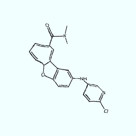 CN(C)C(=O)C1=CC=CC2Oc3ccc(Nc4ccc(Cl)nc4)cc3C2=C1